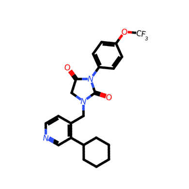 O=C1CN(Cc2ccncc2C2CCCCC2)C(=O)N1c1ccc(OC(F)(F)F)cc1